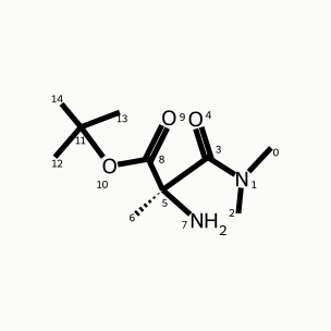 CN(C)C(=O)[C@@](C)(N)C(=O)OC(C)(C)C